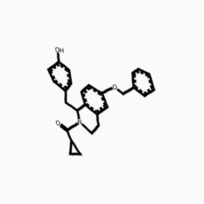 O=C(C1CC1)N1CCc2cc(OCc3ccccc3)ccc2C1Cc1ccc(O)cc1